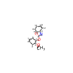 COc1ccccc1Oc1nc2ccccc2o1